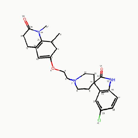 CC1CC(OCCN2CCC3(CC2)C(=O)Nc2ccc(Cl)cc23)=CC2=C1N(C)C(=O)CC2